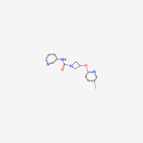 O=C(Nc1cccnc1)N1CC(Oc2ccc(I)cn2)C1